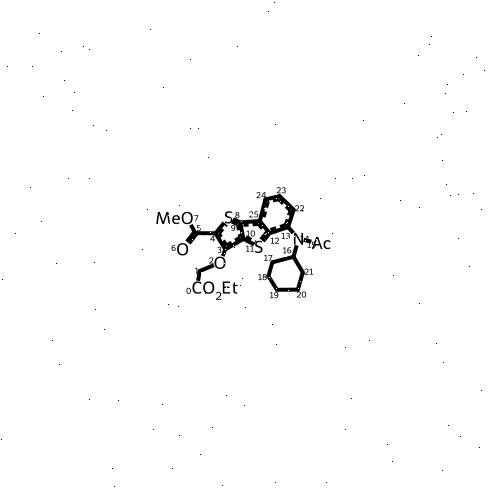 CCOC(=O)COc1c(C(=O)OC)sc2c1sc1c(N(C(C)=O)C3CCCCC3)cccc12